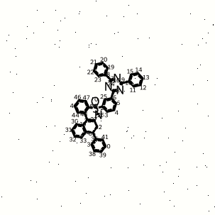 O=S1(c2cccc(-c3nc(-c4ccccc4)nc(-c4ccccc4)n3)c2)=NC2=C(c3ccccc3C(c3ccccc3)C2)c2ccccc21